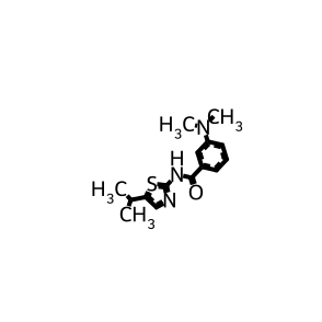 CC(C)c1cnc(NC(=O)c2cccc(N(C)C)c2)s1